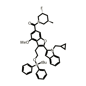 COc1cc(C(=O)N2C[C@H](C)C[C@@H](F)C2)cc2oc(-c3cc4ccccc4n3CC3CC3)c(CCO[Si](c3ccccc3)(c3ccccc3)C(C)(C)C)c12